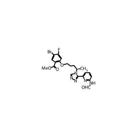 COC(=O)c1cc(Br)c(F)cc1OCCC[C@@H](C)n1cnnc1-c1cccc(NC=O)n1